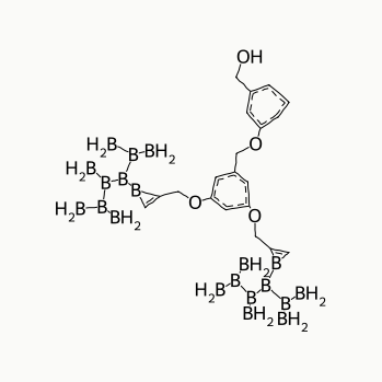 BB(B)B(B)B(B(B)B)B1C=C1COc1cc(COc2cccc(CO)c2)cc(OCC2=CB2B(B(B)B)B(B)B(B)B)c1